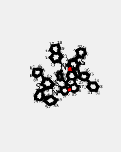 Clc1ccc2c(c1)C1(c3cc(N(c4ccc5ccccc5c4)c4cc(-c5ccc(-c6ccccc6)cc5)c5sc6ccccc6c5c4)ccc3Sc3c(N(c4ccccc4)c4ccc(-c5ccccc5)c5sc6ccccc6c45)cccc31)c1ccccc1-2